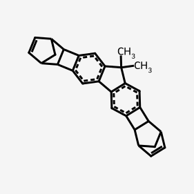 CC1(C)c2cc3c(cc2-c2cc4c(cc21)C1C2C=CC(C2)C41)C1C2C=CC(C2)C31